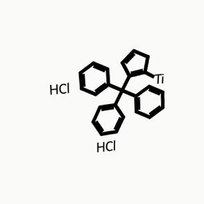 Cl.Cl.[Ti][C]1=C(C(c2ccccc2)(c2ccccc2)c2ccccc2)C=CC1